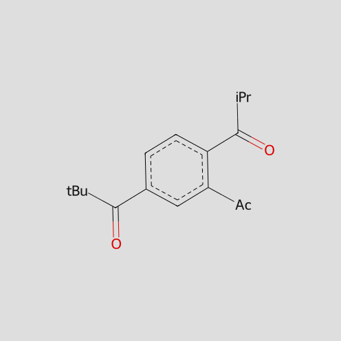 CC(=O)c1cc(C(=O)C(C)(C)C)ccc1C(=O)C(C)C